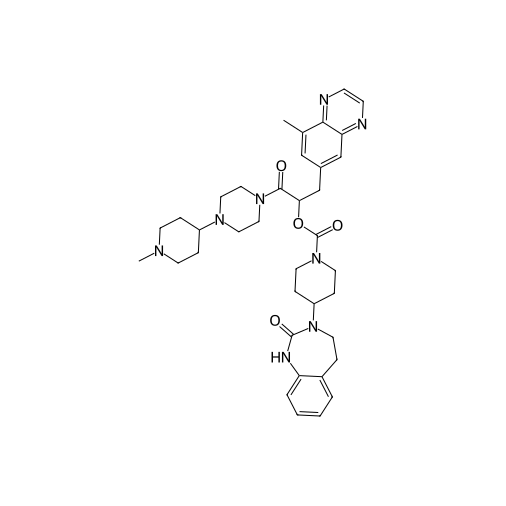 Cc1cc(CC(OC(=O)N2CCC(N3CCc4ccccc4NC3=O)CC2)C(=O)N2CCN(C3CCN(C)CC3)CC2)cc2nccnc12